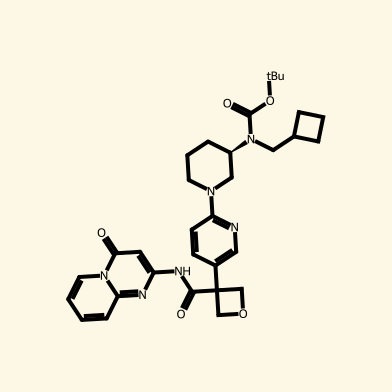 CC(C)(C)OC(=O)N(CC1CCC1)[C@@H]1CCCN(c2ccc(C3(C(=O)Nc4cc(=O)n5ccccc5n4)COC3)cn2)C1